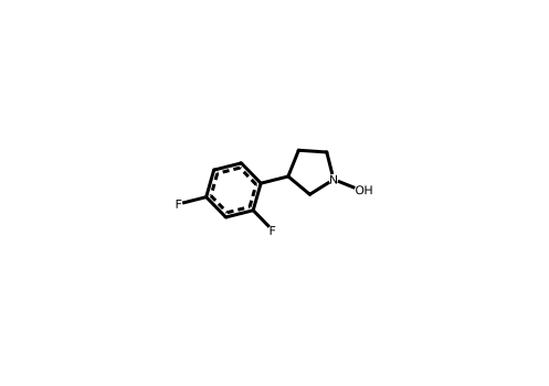 ON1CCC(c2ccc(F)cc2F)C1